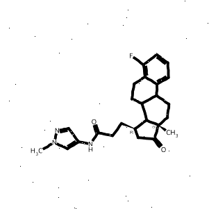 Cn1cc(NC(=O)CC[C@@H]2CC(=O)[C@@]3(C)CCC4c5cccc(F)c5CCC4C23)cn1